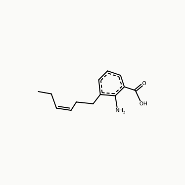 CC/C=C\CCc1cccc(C(=O)O)c1N